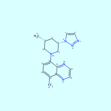 C[C@@H]1C[C@H](n2ccnn2)CN(c2ccc(C(F)(F)F)c3nccnc23)C1